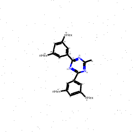 CCCCCCc1cc(CCCCCC)cc(-c2nc(C)nc(-c3cc(CCCCCC)cc(CCCCCC)c3)n2)c1